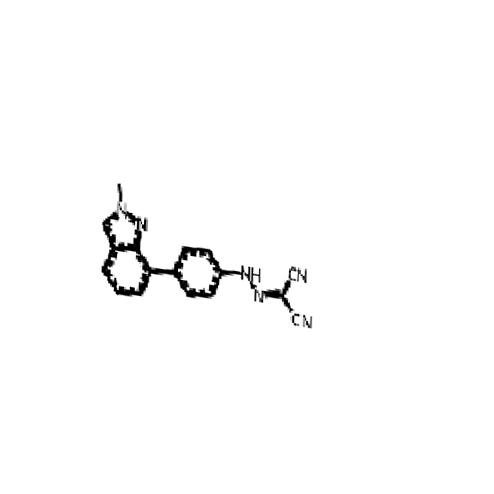 Cn1cc2cccc(-c3ccc(NN=C(C#N)C#N)cc3)c2n1